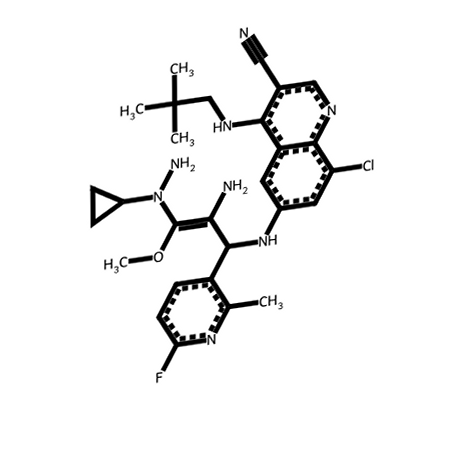 CO/C(=C(/N)C(Nc1cc(Cl)c2ncc(C#N)c(NCC(C)(C)C)c2c1)c1ccc(F)nc1C)N(N)C1CC1